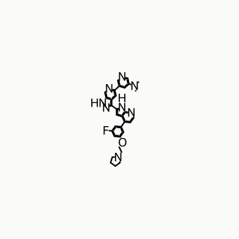 CN(C)c1cncc(-c2cc3c(-c4cc5c(-c6cc(F)cc(OCCN7CCCC7)c6)ccnc5[nH]4)n[nH]c3cn2)c1